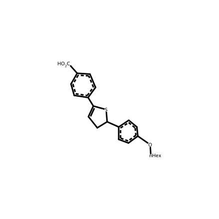 CCCCCCOc1ccc(C2CC=C(c3ccc(C(=O)O)cc3)S2)cc1